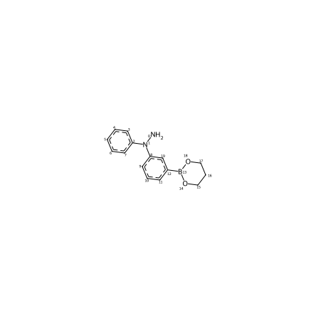 NN(c1ccccc1)c1cccc(B2OCCCO2)c1